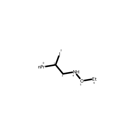 CCCC(I)CNOCC